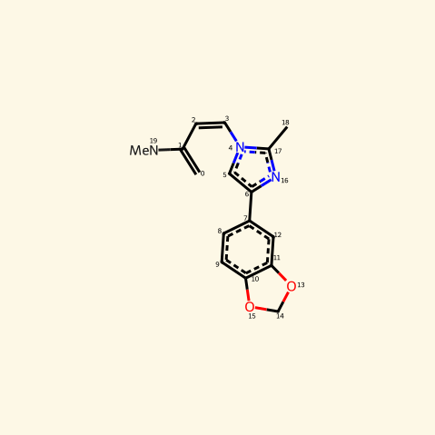 C=C(/C=C\n1cc(-c2ccc3c(c2)OCO3)nc1C)NC